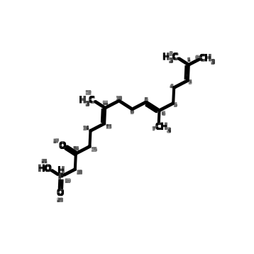 CC(C)=CCCC(C)=CCCC(C)=CCCC(=O)C[PH](=O)O